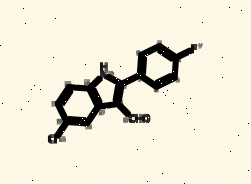 O=Cc1c(-c2ccc(F)cc2)[nH]c2ccc(Cl)cc12